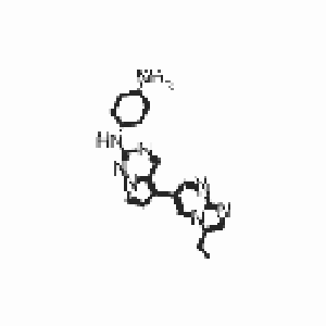 CCc1cnc2ncc(-c3ccn4nc(N[C@H]5CC[C@@H](N)CC5)ncc34)cn12